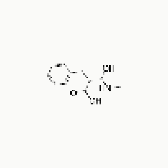 CNC(O)C(Cc1ccccc1)C(=O)O